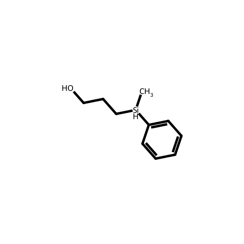 C[SiH](CCCO)c1ccccc1